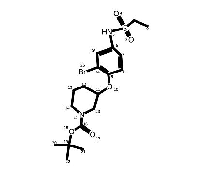 CCS(=O)(=O)Nc1ccc(OC2CCCN(C(=O)OC(C)(C)C)C2)c(Br)c1